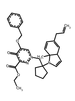 C=CCC1=CC2C=CN(C3(Cn4cc(OCc5ccccc5)c(=O)c(C(=O)OCC)n4)CCCC3)C2(C)C=C1